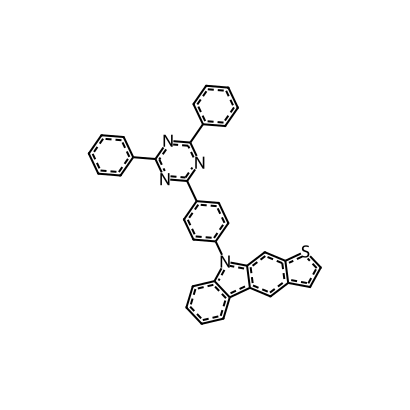 c1ccc(-c2nc(-c3ccccc3)nc(-c3ccc(-n4c5ccccc5c5cc6ccsc6cc54)cc3)n2)cc1